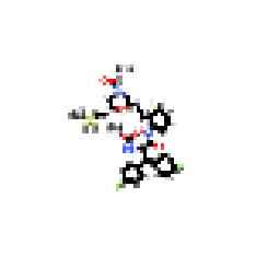 CC(C)(C)OC(=O)NC(C(=O)Nc1cccc(F)c1CC[C@@H]1CN(C(=O)OC(C)(C)C)C[C@@H](CCS(C)(C)C(C)(C)C)O1)C(c1ccc(F)cc1)c1ccc(F)cc1